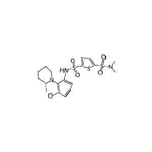 CC1CCCCN1c1c(Cl)cccc1NS(=O)(=O)c1ccc(S(=O)(=O)N(C)C)s1